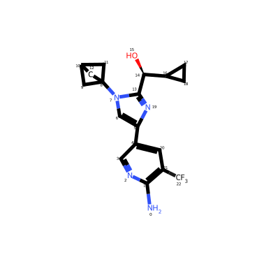 Nc1ncc(-c2cn(C34CC(C3)C4)c([C@@H](O)C3CC3)n2)cc1C(F)(F)F